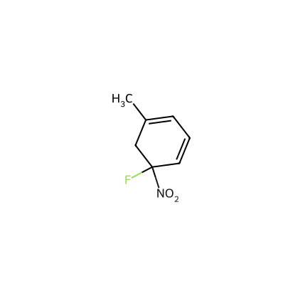 CC1=CC=CC(F)([N+](=O)[O-])C1